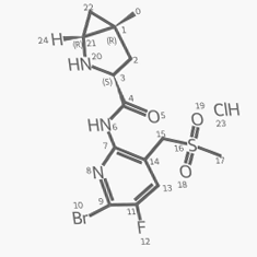 C[C@@]12C[C@@H](C(=O)Nc3nc(Br)c(F)cc3CS(C)(=O)=O)N[C@@H]1C2.Cl